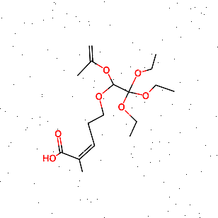 C=C(C)OC(OCCC=C(C)C(=O)O)C(OCC)(OCC)OCC